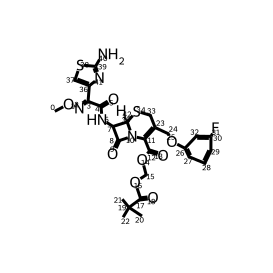 CON=C(C(=O)NC1C(=O)N2C(C(=O)OCOC(=O)C(C)(C)C)=C(COc3cccc(F)c3)CS[C@@H]12)c1csc(N)n1